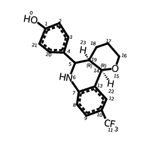 Oc1ccc(C2Nc3ccc(C(F)(F)F)cc3[C@@H]3OCCC[C@H]23)cc1